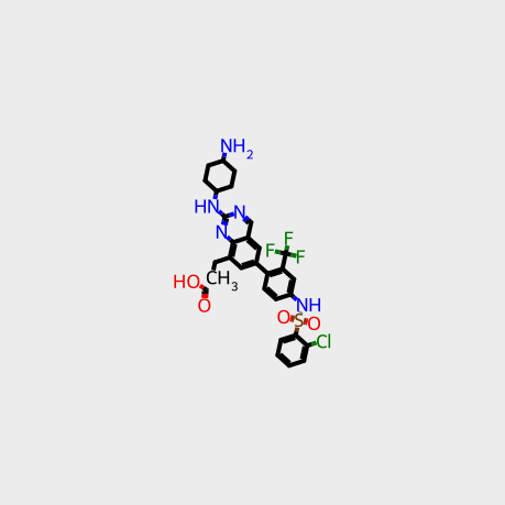 CCc1cc(-c2ccc(NS(=O)(=O)c3ccccc3Cl)cc2C(F)(F)F)cc2cnc(NC3CCC(N)CC3)nc12.O=CO